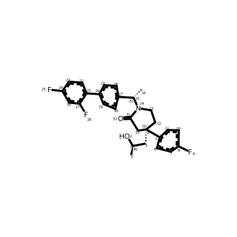 C[C@@H](O)C[C@@]1(c2ccc(F)cc2)CCN([C@@H](C)c2ccc(-c3ccc(F)cc3F)cc2)C(=O)C1